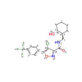 O=C(NC[C@@H]1CCCC[C@H]1O)c1noc(-c2ccc(C(F)(F)F)cc2)c1Cl